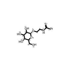 CC(C)C(=S)NCCO[C@H]1OC(CO)[C@@H](O)C(O)C1O